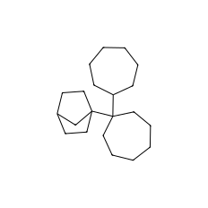 C1CCCC(C2(C34CCC(CC3)C4)CCCCCC2)CC1